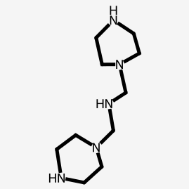 C1CN(CNCN2CCNCC2)CCN1